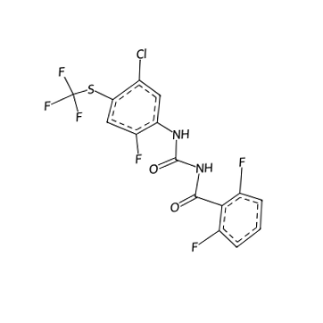 O=C(NC(=O)c1c(F)cccc1F)Nc1cc(Cl)c(SC(F)(F)F)cc1F